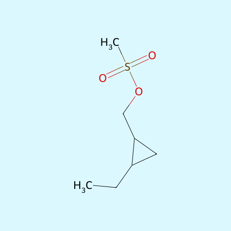 CCC1CC1COS(C)(=O)=O